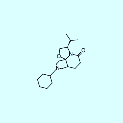 CC(C)[C@@H]1COC23CCN(C4CCCCC4)CC2CCC(=O)N13